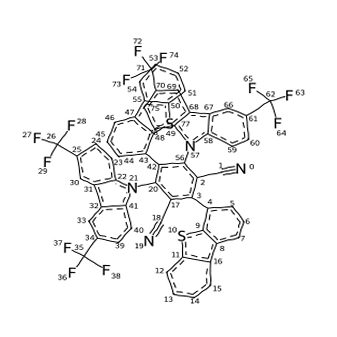 N#Cc1c(-c2cccc3c2sc2ccccc23)c(C#N)c(-n2c3ccc(C(F)(F)F)cc3c3cc(C(F)(F)F)ccc32)c(-c2cccc3c2sc2ccccc23)c1-n1c2ccc(C(F)(F)F)cc2c2cc(C(F)(F)F)ccc21